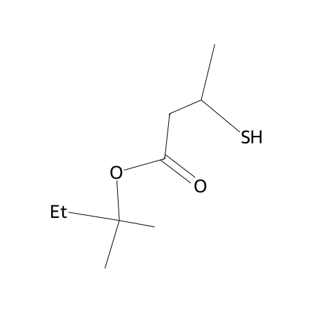 CCC(C)(C)OC(=O)CC(C)S